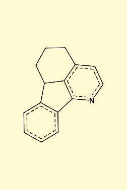 c1ccc2c(c1)-c1nccc3c1C2CCC3